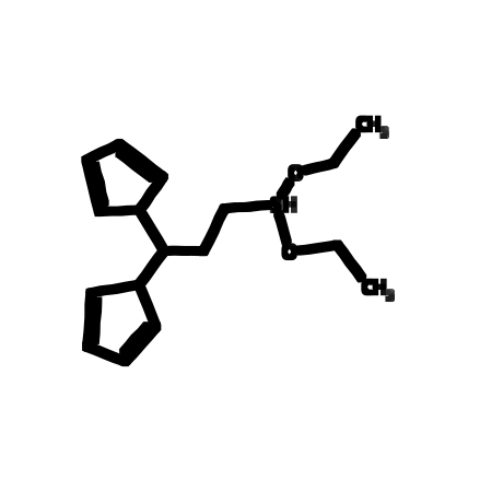 CCO[SiH](CCC(C1C=CC=C1)C1C=CC=C1)OCC